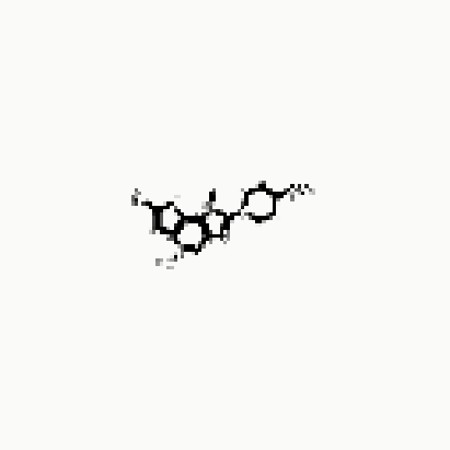 COC1CCN(c2nc3c[n+]([O-])c4cc(Br)sc4c3n2C)CC1